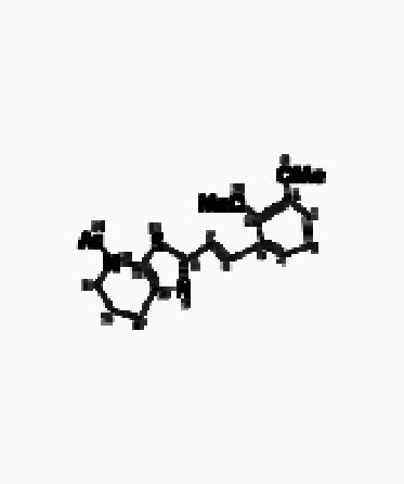 COc1cccc(C=Cc2nc3c(s2)N(C(C)=O)CCC3)c1OC